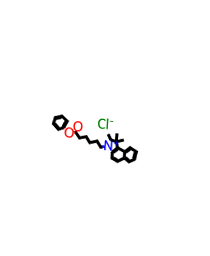 CC1=[N+](CCCCCC(=O)Oc2ccccc2)c2ccc3ccccc3c2C1(C)C.[Cl-]